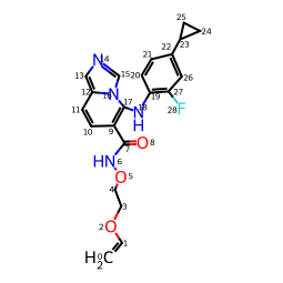 C=COCCONC(=O)c1ccc2cncn2c1Nc1ccc(C2CC2)cc1F